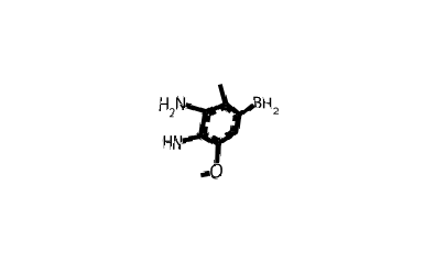 Bc1cc(OC)c(NC)c(N)c1C